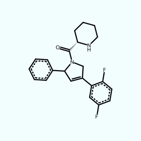 O=C([C@@H]1CCCCN1)N1CC(c2cc(F)ccc2F)=CC1c1ccccc1